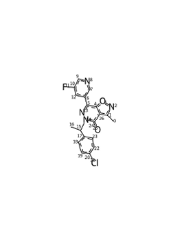 Cc1noc2c(-c3cncc(F)c3)nn(C(C)c3ccc(Cl)cc3)c(=O)c12